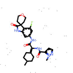 CC1CCC(=C(NC(=O)c2ccnn2C)C(=O)Nc2cc(F)c3c(c2)NC(=O)C32CCOCC2)CC1